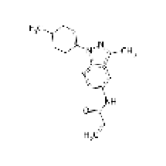 C=CC(=O)Nc1cnc2c(c1)c(C)nn2C1=CCC(C(F)(F)F)CC1